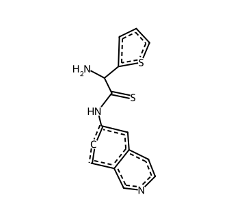 NC(C(=S)Nc1ccc2cnccc2c1)c1cccs1